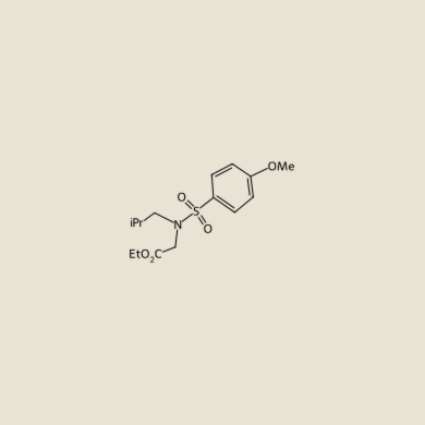 CCOC(=O)CN(CC(C)C)S(=O)(=O)c1ccc(OC)cc1